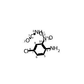 N=C=O.Nc1ccc(Cl)cc1[N+](=O)[O-]